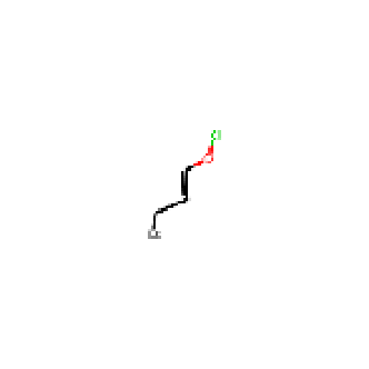 CCCC=COCl